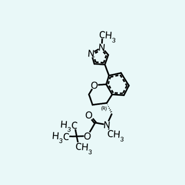 CN(C[C@@H]1CCOc2c(-c3cnn(C)c3)cccc21)C(=O)OC(C)(C)C